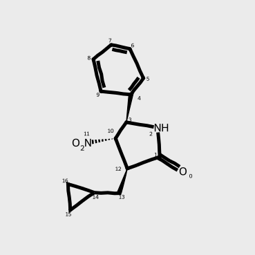 O=C1N[C@H](c2ccccc2)[C@@H]([N+](=O)[O-])[C@@H]1CC1CC1